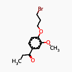 CCC(=O)c1ccc(OCCCBr)c(OC)c1